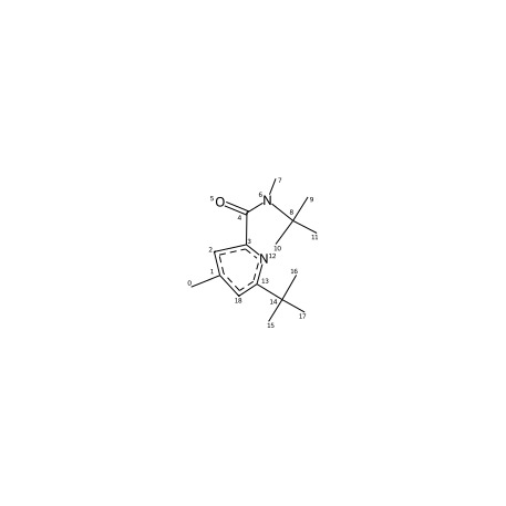 Cc1cc(C(=O)N(C)C(C)(C)C)nc(C(C)(C)C)c1